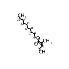 CCC=C(C)C(=O)OCCCCCCCCCC